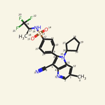 Cc1cnc2c(C#N)c(-c3ccc(S(=O)(=O)N[C@@H](C)C(F)(F)F)cc3)n(C3CCCC3)c2c1